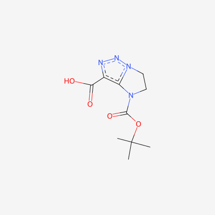 CC(C)(C)OC(=O)N1CCn2nnc(C(=O)O)c21